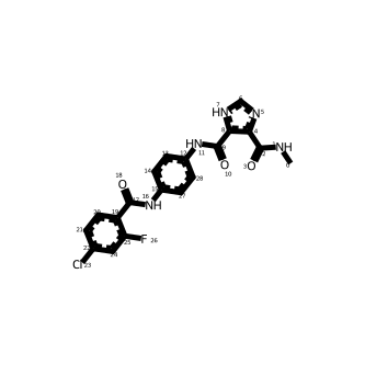 CNC(=O)c1nc[nH]c1C(=O)Nc1ccc(NC(=O)c2ccc(Cl)cc2F)cc1